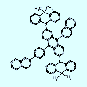 CC1(C)c2ccccc2N(c2ccc3c(-c4ccc5ccccc5c4)c4cc(N5c6ccccc6C(C)(C)c6ccccc65)ccc4c(-c4ccc(-c5ccc6ccccc6c5)cc4)c3c2)c2ccccc21